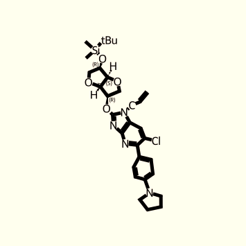 C=CCn1c(O[C@@H]2CO[C@H]3[C@@H]2OC[C@H]3O[Si](C)(C)C(C)(C)C)nc2nc(-c3ccc(N4CCCC4)cc3)c(Cl)cc21